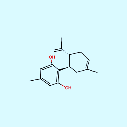 C=C(C)[C@@H]1CC=C(C)C[C@H]1c1c(O)cc(C)cc1O